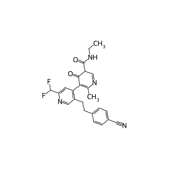 CCNC(=O)C1C=NC(C)=C(c2cc(C(F)F)ncc2CCc2ccc(C#N)cc2)C1=O